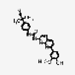 COc1cc(-c2ccc3ncc(NC(=O)Nc4ccc(C(C)(C)C#N)cc4)nc3n2)ccc1O